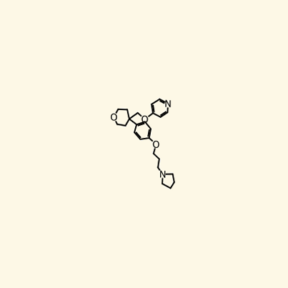 c1cc(OCC2(c3ccc(OCCCN4CCCC4)cc3)CCOCC2)ccn1